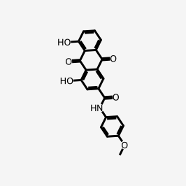 COc1ccc(NC(=O)c2cc(O)c3c(c2)C(=O)c2cccc(O)c2C3=O)cc1